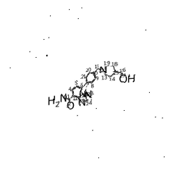 NC(=O)c1ccc(-c2ccc(CN3CCC(CO)CC3)cc2)n2n[c]nc12